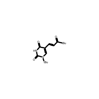 CCC(C)C(=O)/C=C/c1cn(C(C)(C)C)c(=O)[nH]c1=O